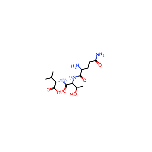 CC(C)[C@H](NC(=O)[C@@H](NC(=O)[C@@H](N)CCC(N)=O)[C@@H](C)O)C(=O)O